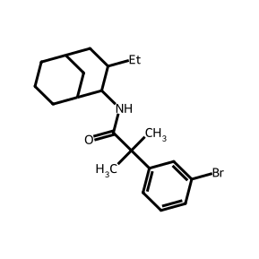 CCC1CC2CCCC(C2)C1NC(=O)C(C)(C)c1cccc(Br)c1